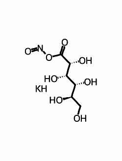 O=NOC(=O)[C@H](O)[C@@H](O)[C@H](O)[C@H](O)CO.[KH]